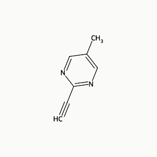 C#Cc1ncc(C)cn1